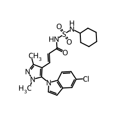 Cc1nn(C)c(-n2ccc3cc(Cl)ccc32)c1C=CC(=O)NS(=O)(=O)NC1CCCCC1